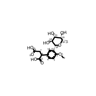 COc1ccc(C(CC(=O)O)C(=O)O)cc1[C@H]1O[C@@H](C)[C@@H](O)[C@@H](O)[C@@H]1O